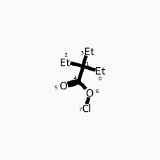 CCC(CC)(CC)C(=O)OCl